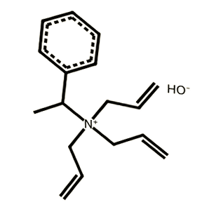 C=CC[N+](CC=C)(CC=C)C(C)c1ccccc1.[OH-]